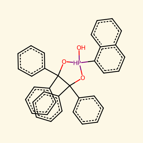 O[PH]1(c2cccc3ccccc23)OC(c2ccccc2)(c2ccccc2)C(c2ccccc2)(c2ccccc2)O1